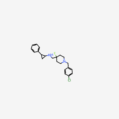 FC1(CNC2CC2c2ccccc2)CCN(Cc2ccc(Cl)cc2)CC1